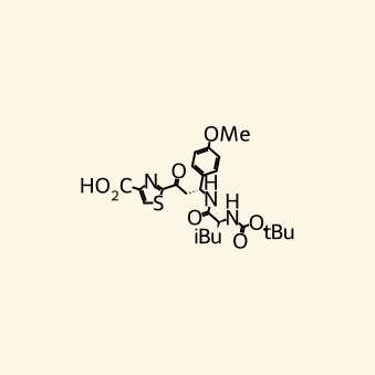 CC[C@H](C)[C@H](NC(=O)OC(C)(C)C)C(=O)N[C@H](CC(=O)c1nc(C(=O)O)cs1)c1ccc(OC)cc1